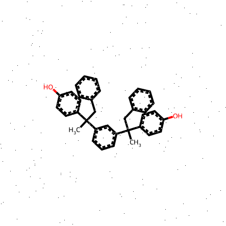 CC(Cc1ccccc1)(c1ccc(O)cc1)c1cccc(C(C)(Cc2ccccc2)c2ccc(O)cc2)c1